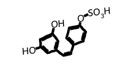 O=S(=O)(O)Oc1ccc(/C=C\c2cc(O)cc(O)c2)cc1